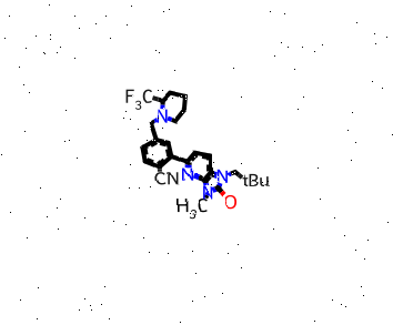 Cn1c(=O)n(CC(C)(C)C)c2ccc(-c3cc(CN4CCCCC4C(F)(F)F)ccc3C#N)nc21